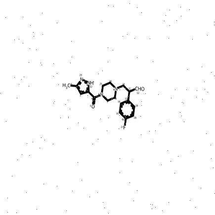 Cc1cc(C(=O)N2CCN(CC(C=O)c3ccc(F)cc3)CC2)[nH]n1